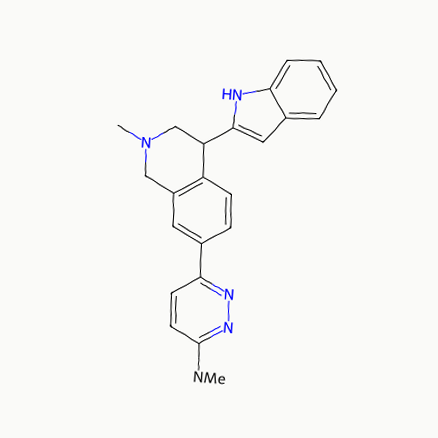 CNc1ccc(-c2ccc3c(c2)CN(C)CC3c2cc3ccccc3[nH]2)nn1